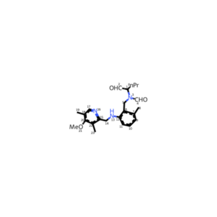 CCCC(C=O)N(C=O)Cc1c(C)cccc1NCc1ncc(C)c(OC)c1C